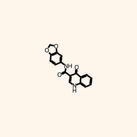 O=C(Nc1ccc2c(c1)OCO2)c1c[nH]c2ccccc2c1=O